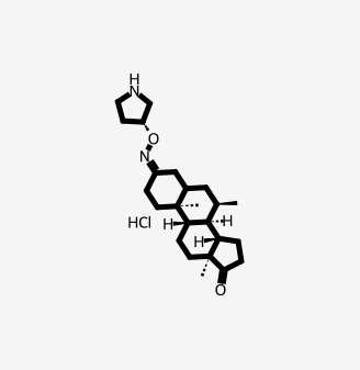 C[C@@H]1CC2CC(=NO[C@@H]3CCNC3)CC[C@]2(C)[C@H]2CC[C@]3(C)C(=O)CC[C@H]3[C@H]12.Cl